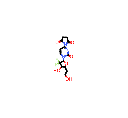 O=C1CCC(=O)N1c1ccn(C2OC(CCO)C(O)C2(F)F)c(=O)n1